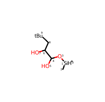 C[SiH](C)OC(O)C(O)CC(C)(C)C